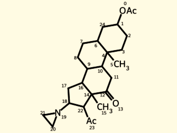 CC(=O)OC1CCC2(C)C(CCC3C2CC(=O)C2(C)C3CC(N3CC3)C2C(C)=O)C1